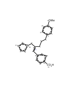 COc1ccc(CCC/C(=C\c2ccc(C(=O)O)cc2)Cn2ccnc2)cc1